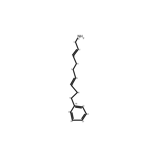 NCC=CCCC=CCCc1ccccc1